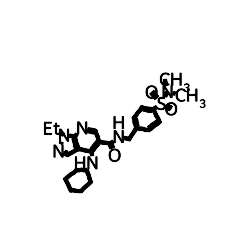 CCn1ncc2c(NC3CCCCC3)c(C(=O)NCc3ccc(S(=O)(=O)N(C)C)cc3)cnc21